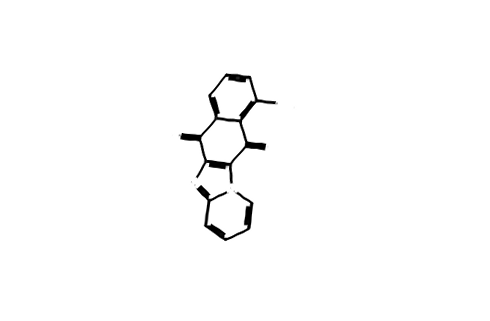 Cc1cccc2c1C(=O)c1c(nc3ccccn13)C2=O